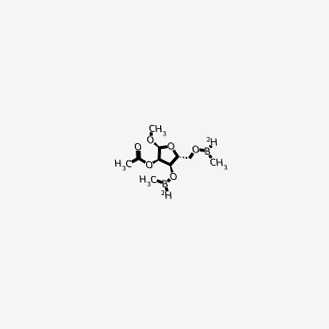 [2H]B(C)OC[C@H]1O[C@H](OC)[C@H](OC(C)=O)[C@@H]1OB([2H])C